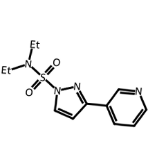 CCN(CC)S(=O)(=O)n1ccc(-c2cccnc2)n1